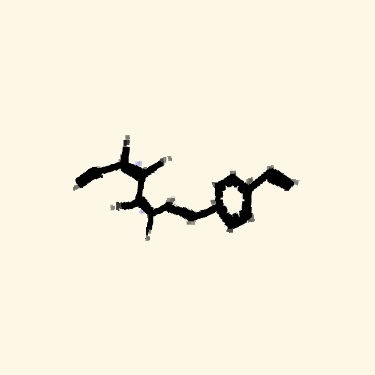 C#C/C(F)=C(F)\C(F)=C(\F)CCc1ccc(C=C)cc1